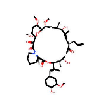 C=CC[C@@H]1/C=C(\C)[C@@H](O)[C@H](C)C[C@H](OC)[C@H]2O[C@@](O)(C(=O)C(=O)N3CCCC[C@H]3C(=O)O[C@H](/C(C)=C/[C@@H]3CC[C@@H](O)[C@H](OC)C3)[C@H](C)[C@@H](O)CC1=O)[C@H](C)C[C@@H]2OC